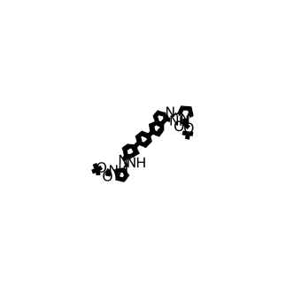 CC(C)(C)OC(=O)N[C@H]1CCC[C@H]1c1nc2ccc(-c3ccc(-c4ccc5c(c4)CCc4nc([C@@H]6CCCN6C(=O)OC(C)(C)C)[nH]c4-5)cc3)cc2[nH]1